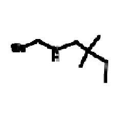 CC(C)(C)CNCC(C)(C)CI